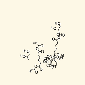 C=CC(=O)OC(=O)CCCCC(=O)OC(=O)C=C.CC(O)CO.CC(O)CO.O=C(O)CCC(=O)O.O=C(O)c1ccccc1.O=CO.O=COC(=O)CCCCC(=O)O